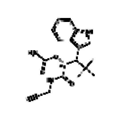 C#CCNC(=O)[C@H](OC(N)=O)C(c1c[nH]c2ccccc12)C(C)(C)C